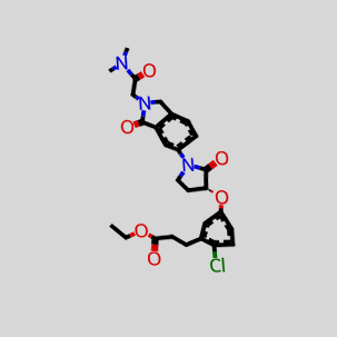 CCOC(=O)CCc1cc(O[C@@H]2CCN(c3ccc4c(c3)C(=O)N(CC(=O)N(C)C)C4)C2=O)ccc1Cl